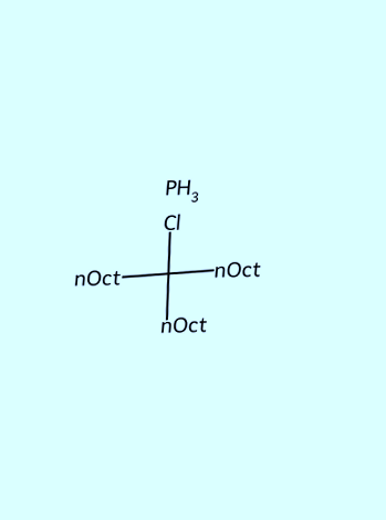 CCCCCCCCC(Cl)(CCCCCCCC)CCCCCCCC.P